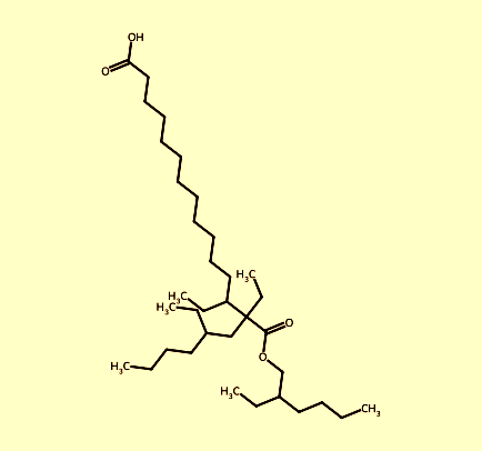 CCCCC(CC)COC(=O)C(CC)(CC(CC)CCCC)C(CC)CCCCCCCCCCCC(=O)O